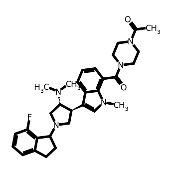 CC(=O)N1CCN(C(=O)c2cccc3c([C@H]4CN(C5CCc6cccc(F)c65)C[C@@H]4N(C)C)cn(C)c23)CC1